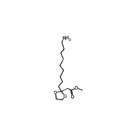 COC(=O)CC1(CCCCCCCCCN)OCCO1